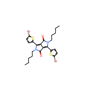 CCCCCN1C(=O)C2=C(c3ccc(Br)s3)N(CCCCC)C(=O)C2=C1c1ccc(Br)s1